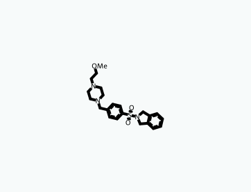 COCCN1CCN(Cc2ccc(S(=O)(=O)N3Cc4ccccc4C3)cc2)CC1